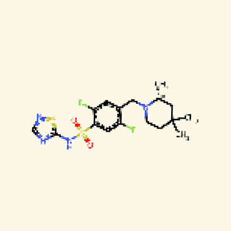 C[C@@H]1CC(C)(C)CCN1Cc1cc(F)c(S(=O)(=O)Nc2ncns2)cc1F